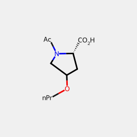 CCCOC1C[C@@H](C(=O)O)N(C(C)=O)C1